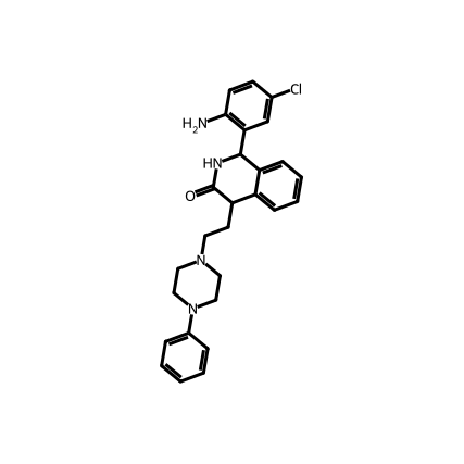 Nc1ccc(Cl)cc1C1NC(=O)C(CCN2CCN(c3ccccc3)CC2)c2ccccc21